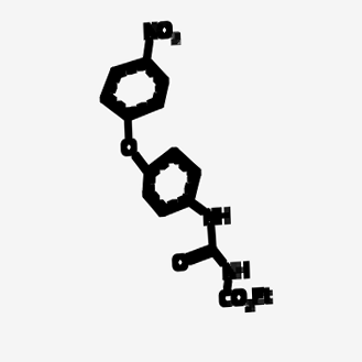 CCOC(=O)NC(=O)Nc1ccc(Oc2ccc([N+](=O)[O-])cc2)cc1